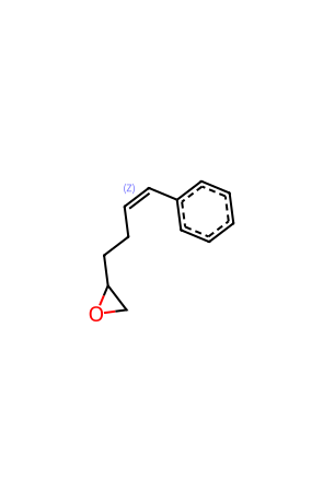 C(=C/c1ccccc1)/CCC1CO1